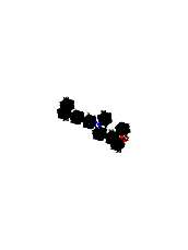 c1ccc(N(c2ccc(-c3ccc(-c4cccc5ccccc45)cc3)cc2)c2cccc(-c3cc4c5c(cccc5c3)Oc3ccccc3-4)c2)cc1